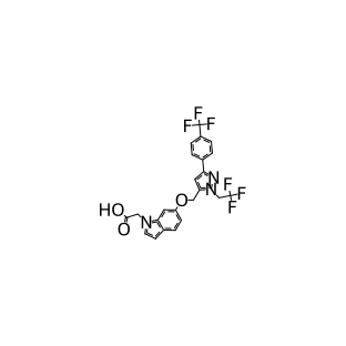 O=C(O)Cn1ccc2ccc(OCc3cc(-c4ccc(C(F)(F)F)cc4)nn3CC(F)(F)F)cc21